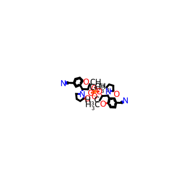 COP(=O)(O[C@H]1C(N2CCCC2=O)c2cc(C#N)ccc2OC1(C)C)O[C@H]1[C@@H](N2CCCC2=O)c2cc(C#N)ccc2OC1(C)C